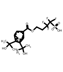 CC(C)(O)c1c(C(C)(C)O)c2oc1cc2C(=O)OCCC(F)(F)C(F)(F)S(=O)(=O)O